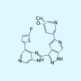 COc1cncc(-c2cc3c(-c4nc5c(-c6ccc(F)s6)cncc5[nH]4)n[nH]c3cn2)c1